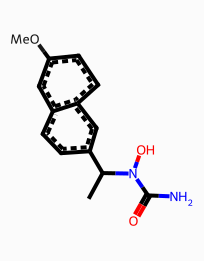 COc1ccc2cc(C(C)N(O)C(N)=O)ccc2c1